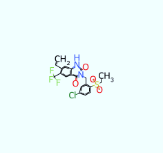 C=Cc1cc2[nH]c(=O)n(Cc3cc(Cl)ccc3S(=O)(=O)CC)c(=O)c2cc1C(F)(F)F